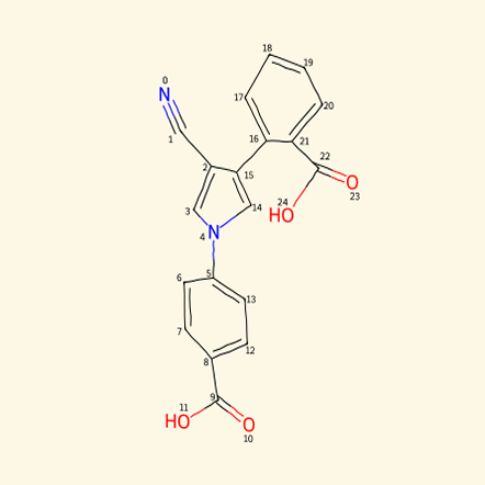 N#Cc1cn(-c2ccc(C(=O)O)cc2)cc1-c1ccccc1C(=O)O